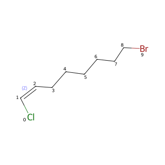 Cl/C=C\CCCCCCBr